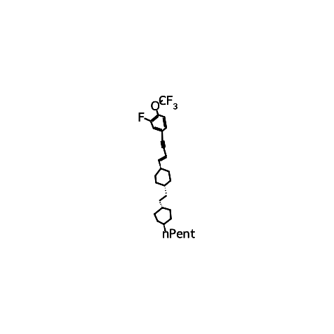 CCCCC[C@H]1CC[C@H](CC[C@H]2CC[C@H](C=CC#Cc3ccc(OC(F)(F)F)c(F)c3)CC2)CC1